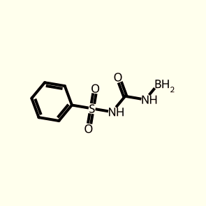 BNC(=O)NS(=O)(=O)c1ccccc1